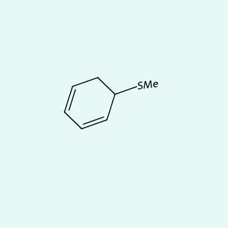 [CH2]SC1C=CC=CC1